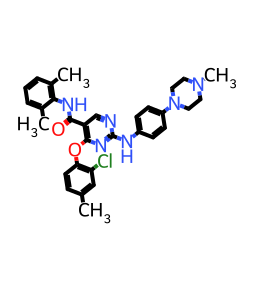 Cc1ccc(Oc2nc(Nc3ccc(N4CCN(C)CC4)cc3)ncc2C(=O)Nc2c(C)cccc2C)c(Cl)c1